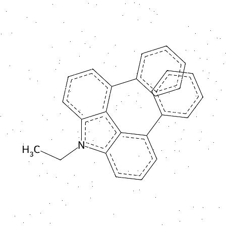 CCn1c2cccc(-c3ccccc3)c2c2c(-c3ccccc3)cccc21